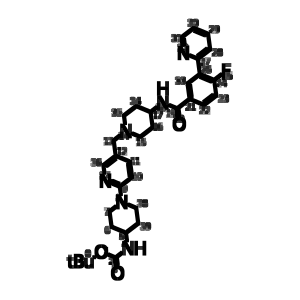 CC(C)(C)OC(=O)NC1CCN(c2ccc(CN3CCC(NC(=O)c4ccc(F)c(-c5ccccn5)c4)CC3)cn2)CC1